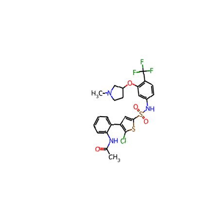 CC(=O)Nc1ccccc1-c1cc(S(=O)(=O)Nc2ccc(C(F)(F)F)c(OC3CCN(C)C3)c2)sc1Cl